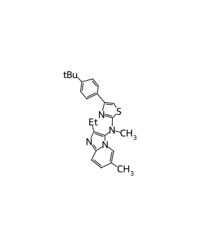 CCc1nc2ccc(C)cn2c1N(C)c1nc(-c2ccc(C(C)(C)C)cc2)cs1